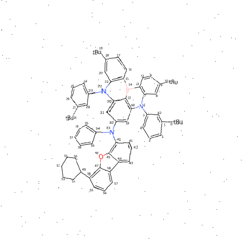 CC(C)(C)c1cccc(N2c3cc(C(C)(C)C)ccc3B3c4ccc(C(C)(C)C)cc4N(c4cccc(C(C)(C)C)c4)c4cc(N(c5ccccc5)c5cccc6c5oc5c(C7CCCCC7)cccc56)cc2c43)c1